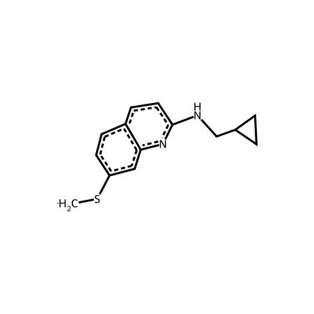 [CH2]Sc1ccc2ccc(NCC3CC3)nc2c1